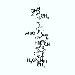 CCn1c(Sc2ccc(Nc3c(C#N)cnc4cc(OCCCN(C)CC(O)CO)c(OC)cc34)cc2Cl)nc(C)c1C